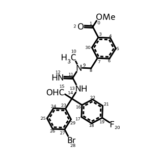 COC(=O)c1cccc(CN(C)C(=N)NC(C=O)(c2ccc(F)cc2)c2cccc(Br)c2)c1